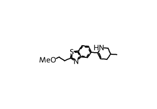 COCCc1nc2cc(C3=CCC(C)CN3)ccc2s1